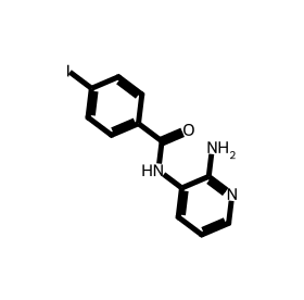 Nc1ncccc1NC(=O)c1ccc(I)cc1